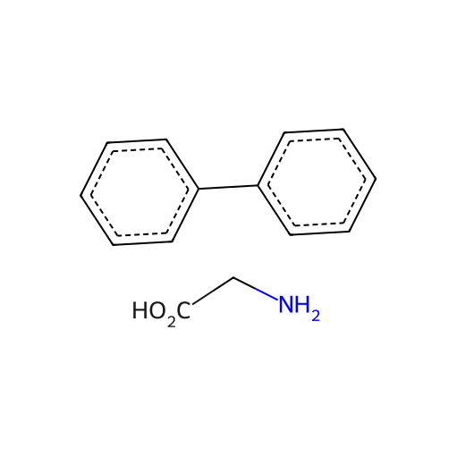 NCC(=O)O.c1ccc(-c2ccccc2)cc1